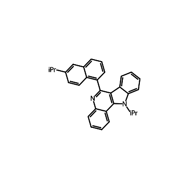 CC(C)c1ccc2c(-c3nc4ccccc4c4c3c3ccccc3n4C(C)C)cccc2c1